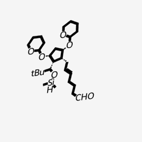 C[SiH](C)OC([C@H]1[C@@H](CC=CCCCC=O)[C@@H](OC2CCCCO2)C[C@H]1OC1CCCCO1)C(C)(C)C